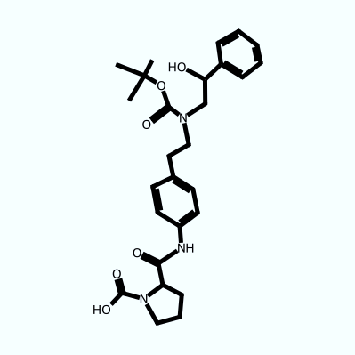 CC(C)(C)OC(=O)N(CCc1ccc(NC(=O)C2CCCN2C(=O)O)cc1)CC(O)c1ccccc1